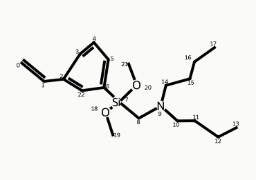 C=Cc1cccc([Si](CN(CCCC)CCCC)(OC)OC)c1